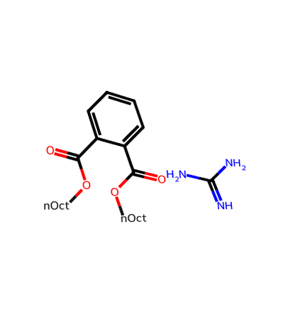 CCCCCCCCOC(=O)c1ccccc1C(=O)OCCCCCCCC.N=C(N)N